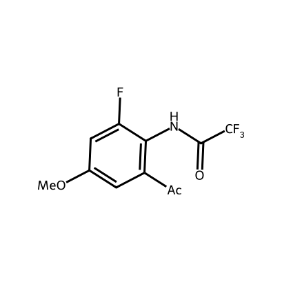 COc1cc(F)c(NC(=O)C(F)(F)F)c(C(C)=O)c1